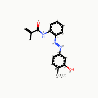 C=C(C)C(=O)Nc1ccccc1N=Nc1ccc(C(=O)OCC)c(O)c1